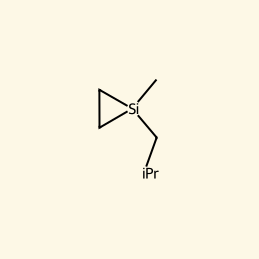 CC(C)C[Si]1(C)CC1